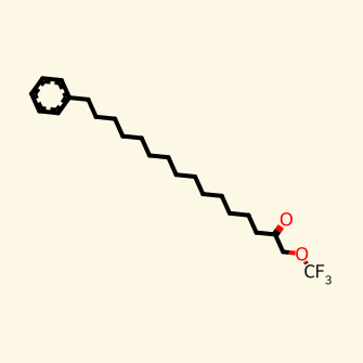 O=C(CCCCCCCCCCCCCCc1ccccc1)COC(F)(F)F